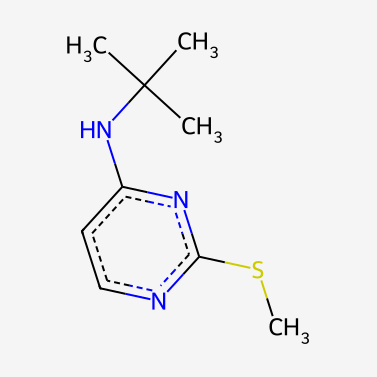 CSc1nccc(NC(C)(C)C)n1